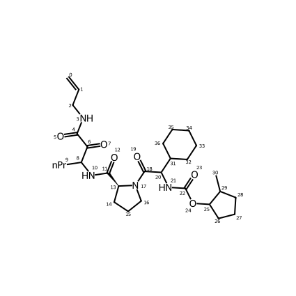 C=CCNC(=O)C(=O)C(CCC)NC(=O)[C@@H]1CCCN1C(=O)C(NC(=O)OC1CCCC1C)C1CCCCC1